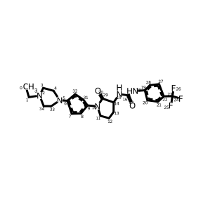 CCN1CCN(c2ccc(N3CCCC(NC(=O)Nc4ccc(C(F)(F)F)cc4)C3=O)cc2)CC1